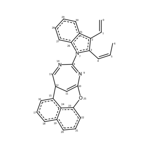 C=Cc1c(/C=C\C)n(C2=NC3=CC(C=N2)c2cccc4cccc(c24)O3)c2ccccc12